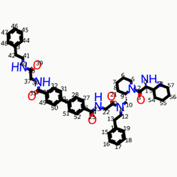 N[C@H](C(=O)N1CCCC[C@H]1CN(CCc1ccccc1)C(=O)CNC(=O)c1ccc(-c2ccc(C(=O)NCC(=O)NCCc3ccccc3)cc2)cc1)C1CCCCC1